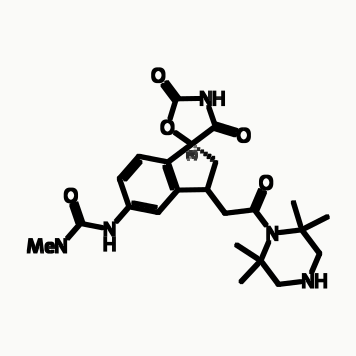 CNC(=O)Nc1ccc2c(c1)C(CC(=O)N1C(C)(C)CNCC1(C)C)C[C@@]21OC(=O)NC1=O